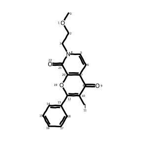 COCCn1ccc2c(=O)c(I)c(-c3ccccc3)oc2c1=O